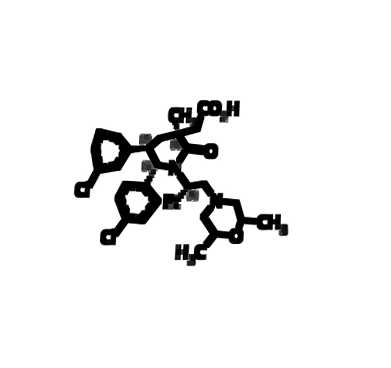 CC[C@@H](CN1CC(C)OC(C)C1)N1C(=O)[C@](C)(CC(=O)O)C[C@H](c2cccc(Cl)c2)[C@H]1c1ccc(Cl)cc1